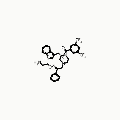 NCCON=C(CN1CCN(C(=O)c2cc(C(F)(F)F)cc(C(F)(F)F)c2)[C@H](Cc2c[nH]c3ccccc23)C1)c1ccccc1